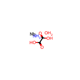 N.O.O=C(O)C(=O)O.[Nb]